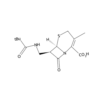 CC1=C(C(=O)O)N2C(=O)[C@@H](CNC(=O)C(C)(C)C)[C@H]2SC1